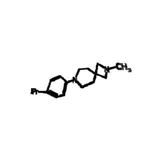 CC(C)c1ccc(N2CCC3(CC2)CN(C)C3)cc1